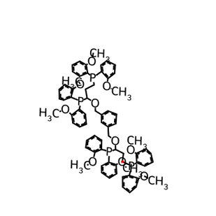 COc1ccccc1P(CCC(OCc1cccc(COC(CCP(c2ccccc2OC)c2ccccc2OC)P(c2ccccc2OC)c2ccccc2OC)c1)P(c1ccccc1OC)c1ccccc1OC)c1ccccc1OC